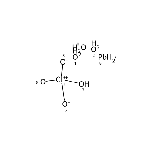 O.O.O.[O-][Cl+3]([O-])([O-])O.[PbH2]